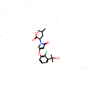 CC(C)CC(C(=O)O)N1CC(Oc2cccc(C(C)(C)O)c2F)=CC1=O